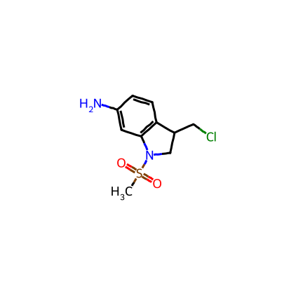 CS(=O)(=O)N1CC(CCl)c2ccc(N)cc21